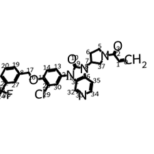 C=CC(=O)N1CCC(n2c(=O)n(-c3ccc(OCc4cccc(C(F)(F)F)c4)c(Cl)c3)c3cnccc32)C1